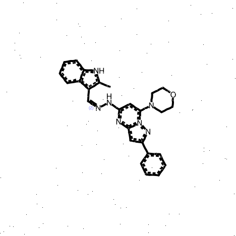 Cc1[nH]c2ccccc2c1/C=N\Nc1cc(N2CCOCC2)n2nc(-c3ccccc3)cc2n1